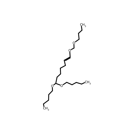 CCCCCOC(CCCCC=COCOCCCC)OCCCCC